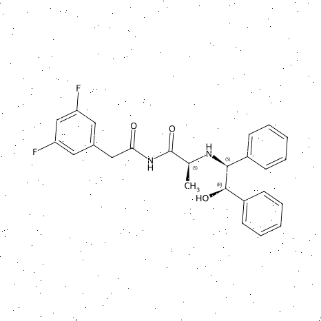 C[C@H](N[C@@H](c1ccccc1)[C@H](O)c1ccccc1)C(=O)NC(=O)Cc1cc(F)cc(F)c1